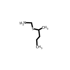 CCCC(C)SCN